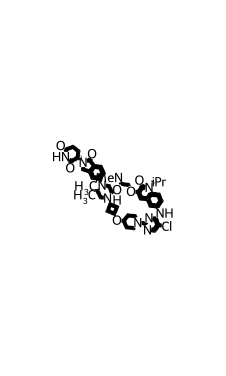 CNC(O)COc1cc2cc(Nc3nc(N4CCC(O[C@H]5C[C@H](N6CCN(c7ccc8c(c7)CN([C@H]7CCC(=O)NC7=O)C8=O)C(C)(C)C6)C5)CC4)ncc3Cl)ccc2n(C(C)C)c1=O